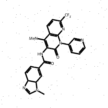 CNc1c(NC(=O)C2=CC3C(C=C2)N=CN3C)c(=O)n(-c2cccnc2)c2nc(C(F)(F)F)ccc12